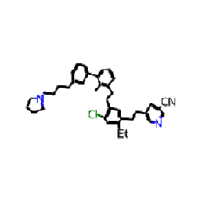 CCc1cc(Cl)c(CCc2cccc(-c3cccc(CCCCN4CCCC4)c3)c2C)cc1CCc1cncc(C#N)c1